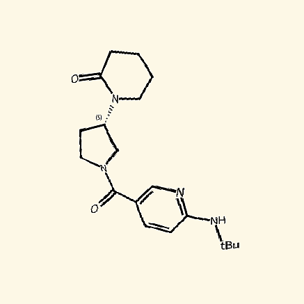 CC(C)(C)Nc1ccc(C(=O)N2CC[C@H](N3CCCCC3=O)C2)cn1